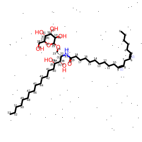 CCCCC/C=C\C/C=C\CCCCCCCCCC(=O)N[C@@H](CO[C@H]1OC(CO)[C@H](O)[C@H](O)C1O)[C@H](O)[C@H](O)CCCCCCCCCCCCCC